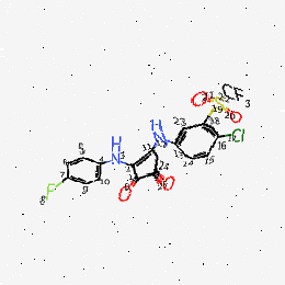 O=c1c(Nc2ccc(F)cc2)c(Nc2ccc(Cl)c(S(=O)(=O)C(F)(F)F)c2)c1=O